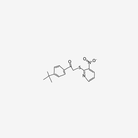 CC(C)(C)c1ccc(C(=O)CSc2ncccc2[N+](=O)[O-])cc1